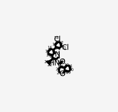 O=C(Nc1cnc2c(-c3cc(Cl)cc(Cl)c3)cccc2c1C1CC1)[C@@H]1CCOc2ccccc21